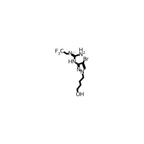 N/C(=N/CC(F)(F)F)Nc1nn(CCCCO)cc1Br